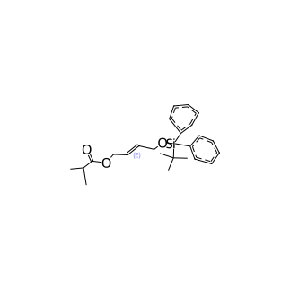 CC(C)C(=O)OC/C=C/CO[Si](c1ccccc1)(c1ccccc1)C(C)(C)C